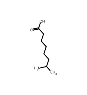 CC(N)CCCCCC(=O)O